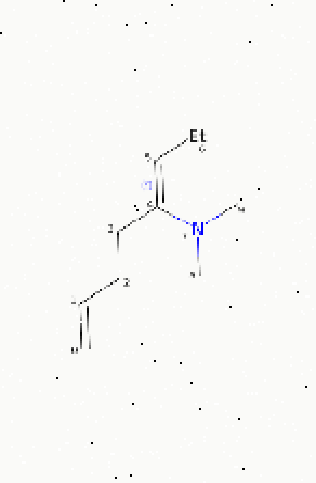 C=CCC/C(=C/CC)N(C)C